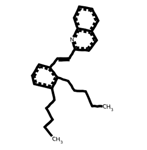 CCCCCc1cccc(C=Cc2ccc3ccccc3n2)c1CCCCC